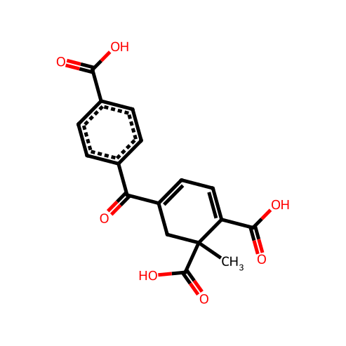 CC1(C(=O)O)CC(C(=O)c2ccc(C(=O)O)cc2)=CC=C1C(=O)O